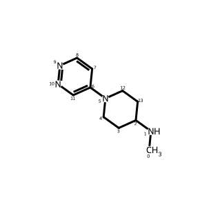 CNC1CCN(c2ccnnc2)CC1